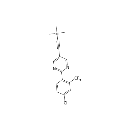 C[Si](C)(C)C#Cc1cnc(-c2ccc(Cl)cc2C(F)(F)F)nc1